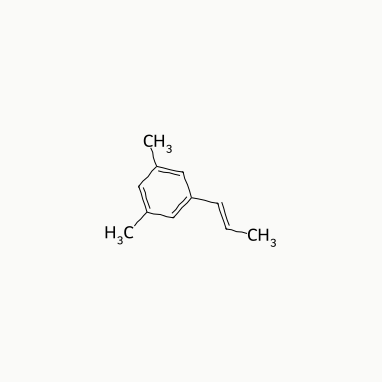 CC=Cc1cc(C)cc(C)c1